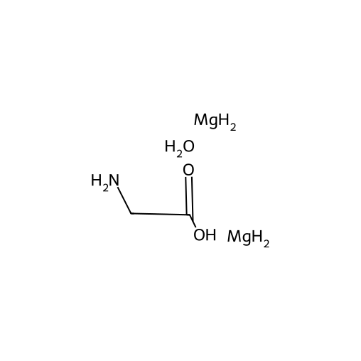 NCC(=O)O.O.[MgH2].[MgH2]